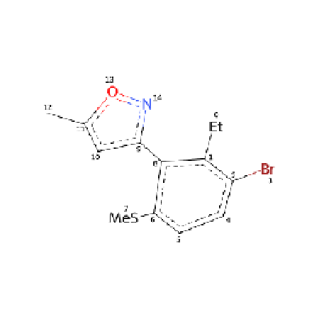 CCc1c(Br)ccc(SC)c1-c1cc(C)on1